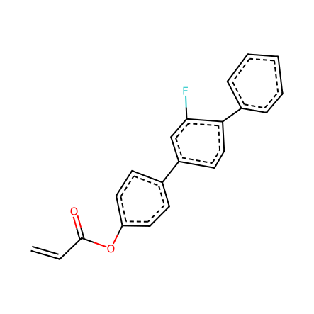 C=CC(=O)Oc1ccc(-c2ccc(-c3ccccc3)c(F)c2)cc1